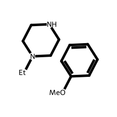 CCN1CCNCC1.COc1ccccc1